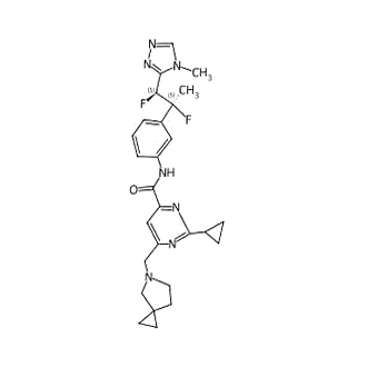 Cn1cnnc1[C@H](F)[C@@](C)(F)c1cccc(NC(=O)c2cc(CN3CCC4(CC4)C3)nc(C3CC3)n2)c1